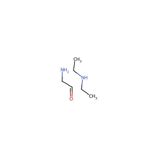 CCNCC.NCC=O